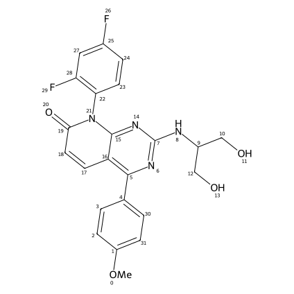 COc1ccc(-c2nc(NC(CO)CO)nc3c2ccc(=O)n3-c2ccc(F)cc2F)cc1